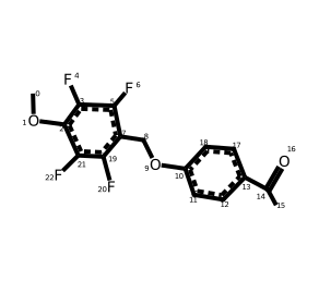 COc1c(F)c(F)c(COc2ccc(C(C)=O)cc2)c(F)c1F